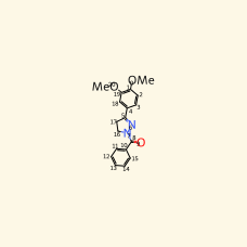 COc1ccc(C2=NN(C(=O)c3ccccc3)CC2)cc1OC